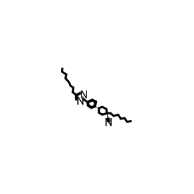 CCCCCCCCc1cnc(-c2ccc([C@H]3CC[C@@](C#N)(CCCCCCC)CC3)cc2)nc1